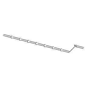 C=C=C=C=C=C=C=C=CN=C